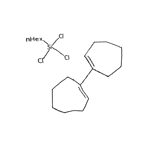 C1=C(C2=CCCCCC2)CCCCC1.CCCCCC[Si](Cl)(Cl)Cl